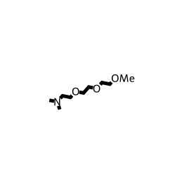 COCCOCCOCCN(C)C